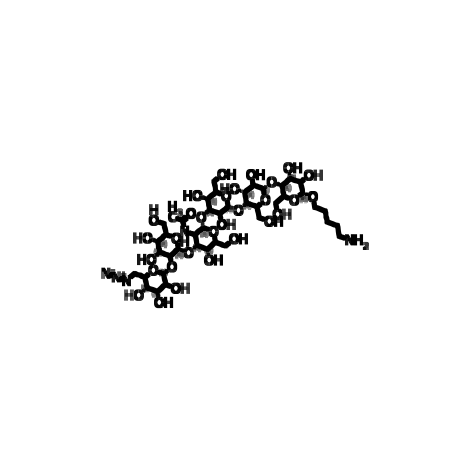 CC(=O)NC1[C@H](O[C@@H]2C(O)[C@@H](O[C@H]3C(CO)O[C@@H](O[C@@H]4C(CO)O[C@@H](OCCCCCN)C(O)[C@H]4O)C(O)[C@H]3O)OC(CO)[C@@H]2O)OC(CO)[C@H](O)[C@@H]1O[C@@H]1OC(CO)[C@H](O)[C@H](O)C1O[C@@H]1OC(CN=[N+]=[N-])[C@@H](O)[C@H](O)C1O